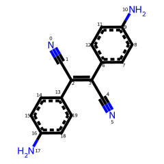 N#CC(=C(C#N)c1ccc(N)cc1)c1ccc(N)cc1